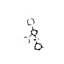 CCN(CC)c1cc(N2CCN(C)CC2)ccc1S(=O)(=O)c1cccc(F)c1